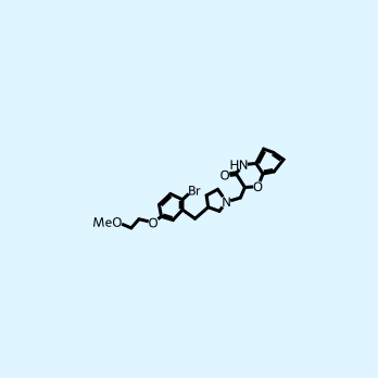 COCCOc1ccc(Br)c(CC2CCN(CC3Oc4ccccc4NC3=O)C2)c1